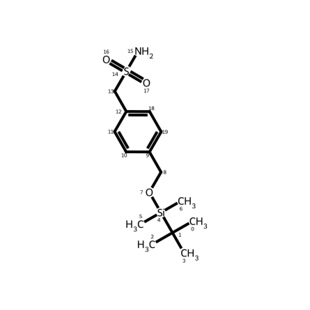 CC(C)(C)[Si](C)(C)OCc1ccc(CS(N)(=O)=O)cc1